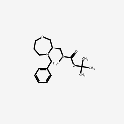 CN(C[C@@H]1COCCCN1Cc1ccccc1)C(=O)OC(C)(C)C